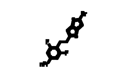 CCCc1cc(F)c(CCc2cc3sc(Br)cc3s2)c(F)c1